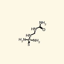 NC(=O)NCNP(N)(N)=S